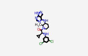 CC1C(Nc2ncnc3[nH]ncc23)CCCN1C(=O)C(Nc1cc(Cl)cc(Cl)c1)C1CC1